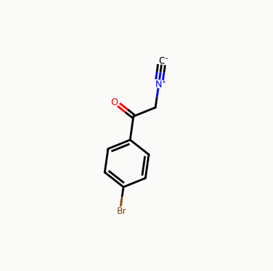 [C-]#[N+]CC(=O)c1ccc(Br)cc1